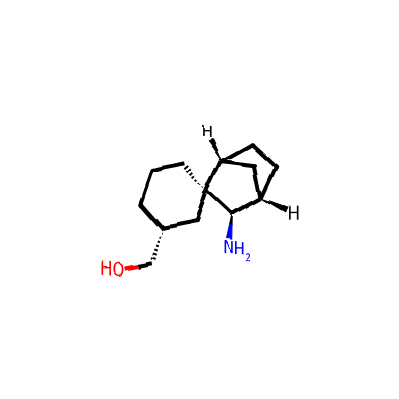 N[C@@H]1[C@H]2CC[C@H](C2)[C@@]12CCC[C@@H](CO)C2